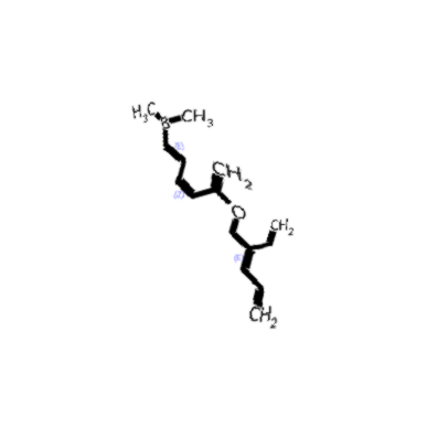 C=C/C=C(\C=C)COC(=C)/C=C\C=C\B(C)C